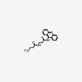 NCCC(=O)NCCC(=O)Nc1c2ccccc2nc2ccccc12